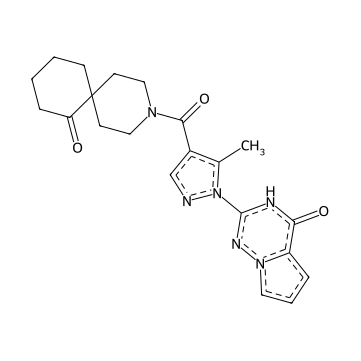 Cc1c(C(=O)N2CCC3(CCCCC3=O)CC2)cnn1-c1nn2cccc2c(=O)[nH]1